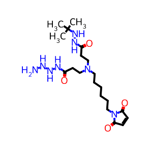 CC(C)(C)NNC(=O)CCN(CCCCCCN1C(=O)C=CC1=O)CCC(=O)NNNN